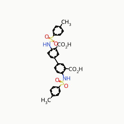 Cc1ccc(S(=O)(=O)Nc2ccc(-c3ccc(NS(=O)(=O)c4ccc(C)cc4)c(C(=O)O)c3)cc2C(=O)O)cc1